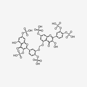 O=c1c(OS(=O)(=O)O)c(-c2ccc(OS(=O)(=O)O)c(OCOc3cc(OS(=O)(=O)O)cc4oc(-c5ccc(OS(=O)(=O)O)c(OS(=O)(=O)O)c5)c(OO)c(=O)c34)c2)oc2cc(OS(=O)(=O)O)cc(O)c12